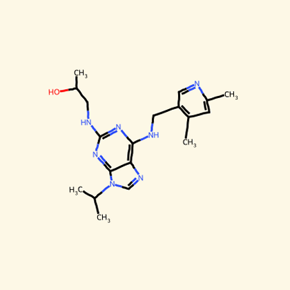 Cc1cc(C)c(CNc2nc(NCC(C)O)nc3c2ncn3C(C)C)cn1